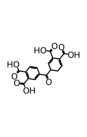 O=C(O)C1=CCC(C(=O)c2ccc(C(=O)O)c(C(=O)O)c2)C=C1C(=O)O